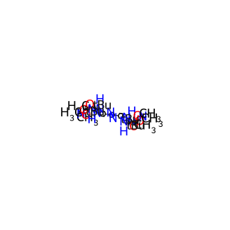 CN(C)C(=O)O[C@@](C)(C(=O)N[C@H](c1nc2ccc(-c3cnc(-c4ccc5nc([C@@H](NC(=O)[C@](C)(OC(=O)N(C)C)C(C)(C)C)C(C)(C)C)[nH]c5c4)cn3)cc2[nH]1)C(C)(C)C)C(C)(C)C